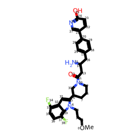 COCCCn1c(C2CCCN(C(=O)CC(N)Cc3ccc(-c4ccc(O)nc4)cc3)C2)cc2c(F)ccc(F)c21